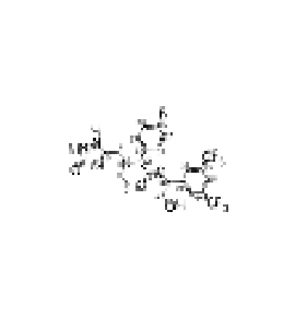 O=c1nc(CN2CCOC(O[C@@H](CO)c3cc(C(F)(F)F)cc(C(F)(F)F)c3)C2c2ccc(F)cc2)[nH][nH]1